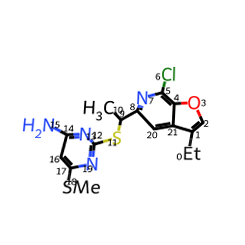 CCc1coc2c(Cl)nc(C(C)Sc3nc(N)cc(SC)n3)cc12